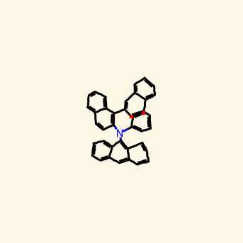 c1ccc(N(c2ccc3ccccc3c2-c2ccc3ccccc3c2)c2c3ccccc3cc3ccccc23)cc1